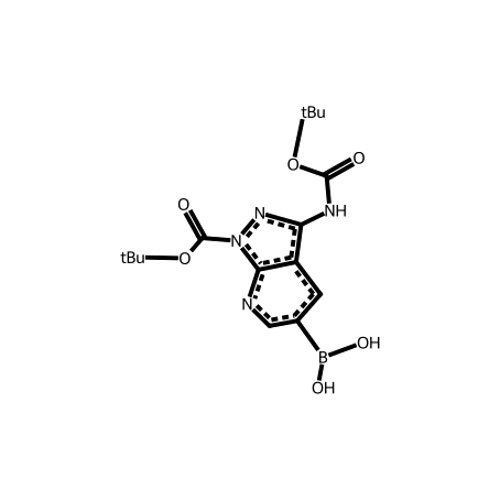 CC(C)(C)OC(=O)Nc1nn(C(=O)OC(C)(C)C)c2ncc(B(O)O)cc12